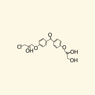 O=C(c1ccc(OC[C@H](O)CCl)cc1)c1ccc(OC[C@@H](O)CO)cc1